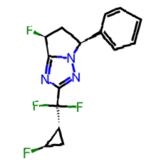 F[C@@H]1C[C@H]1C(F)(F)c1nc2n(n1)[C@H](c1ccccc1)C[C@@H]2F